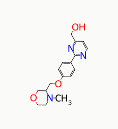 CN1CCOCC1COc1ccc(-c2nccc(CO)n2)cc1